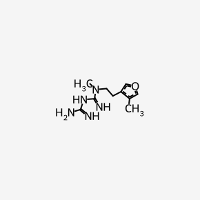 Cc1cocc1CCN(C)C(=N)NC(=N)N